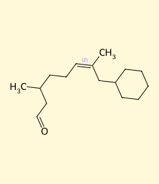 C/C(=C/CCC(C)CC=O)CC1CCCCC1